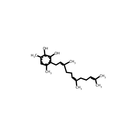 CC(C)=CCCC(C)=CCCC(C)=CCc1c(C)cc(C)c(O)c1O